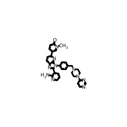 Cn1cc(-c2ccc3nc(-c4cccnc4N)n(-c4ccc(CN5CCN(c6ccncn6)CC5)cc4)c3n2)ccc1=O